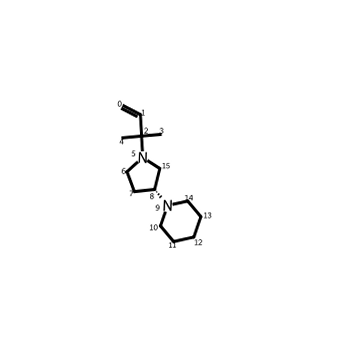 C=CC(C)(C)N1CC[C@@H](N2CCCCC2)C1